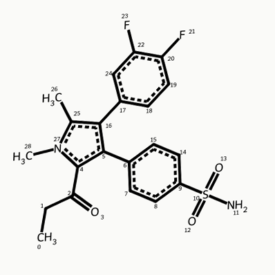 CCC(=O)c1c(-c2ccc(S(N)(=O)=O)cc2)c(-c2ccc(F)c(F)c2)c(C)n1C